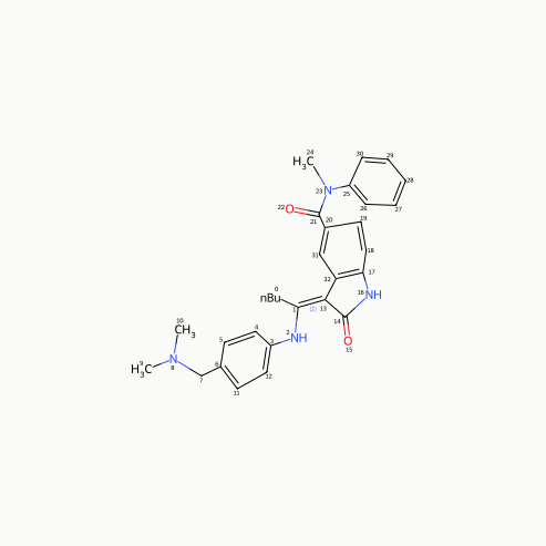 CCCC/C(Nc1ccc(CN(C)C)cc1)=C1/C(=O)Nc2ccc(C(=O)N(C)c3ccccc3)cc21